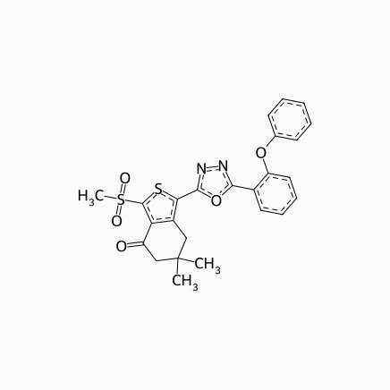 CC1(C)CC(=O)c2c(S(C)(=O)=O)sc(-c3nnc(-c4ccccc4Oc4ccccc4)o3)c2C1